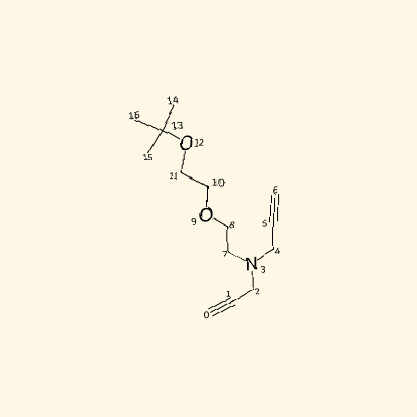 C#CCN(CC#C)CCOCCOC(C)(C)C